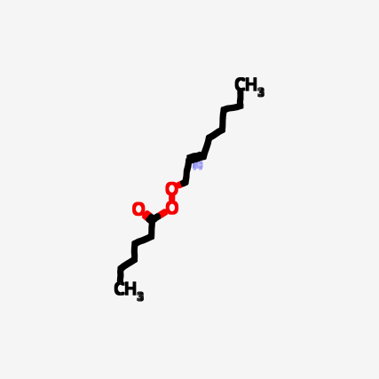 CCCCC/C=C/COOC(=O)CCCCC